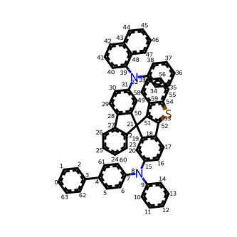 c1ccc(-c2ccc(N(c3ccccc3)c3ccc4c(c3)C3(c5ccccc5-c5ccc(N(c6ccccc6)c6cccc7ccccc67)cc53)c3c-4sc4ccccc34)cc2)cc1